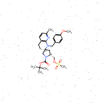 COc1ccc(CN2c3nc(C)ccc3CC[C@@]23C[C@H](COS(C)(=O)=O)N(C(=O)OC(C)(C)C)C3)cc1